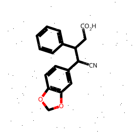 N#CC(c1ccc2c(c1)OCO2)C(CC(=O)O)c1ccccc1